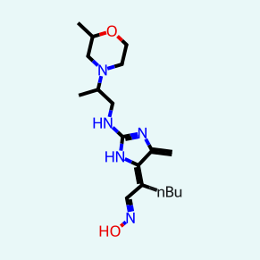 C=c1nc(NCC(C)N2CCOC(C)C2)[nH]/c1=C(\C=N\O)CCCC